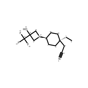 CC[C@]1(CC#N)CC[C@@H](N2CC(O)(C(F)(F)F)C2)CC1